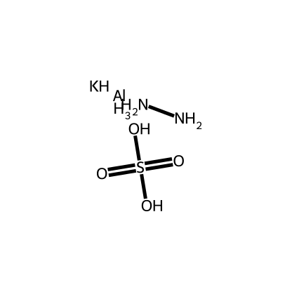 NN.O=S(=O)(O)O.[AlH3].[KH]